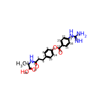 C[C@H](NC(=O)CCc1ccc(OC(=O)c2ccc(NC(=N)N)cc2)cc1)C(=O)O